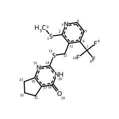 CSc1nccc(C(F)(F)F)c1CSc1nc2c(c(=O)[nH]1)CCC2